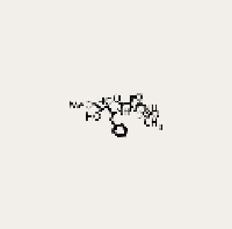 COCC(O)C(O)C(Cc1ccccc1)NC(=O)c1coc(NS(C)(=O)=O)n1